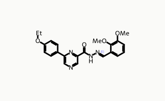 CCOc1ccc(-c2cncc(C(=O)N/N=C/c3cccc(OC)c3OC)n2)cc1